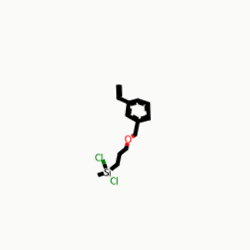 C=Cc1cccc(COCCC[Si](C)(Cl)Cl)c1